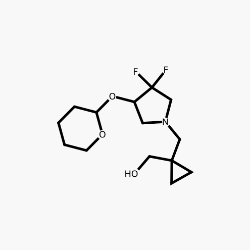 OCC1(CN2CC(OC3CCCCO3)C(F)(F)C2)CC1